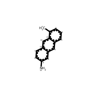 Cc1cccc2cc3cc(N)ccc3cc12